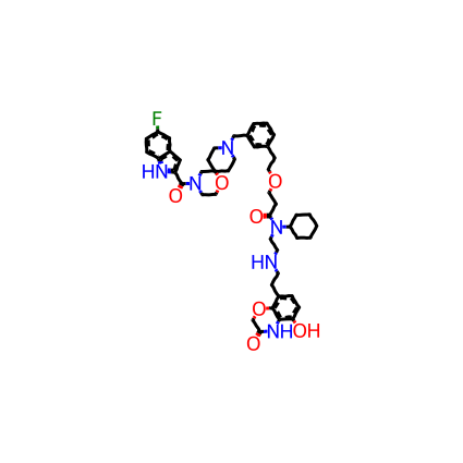 O=C1COc2c(CCNCCN(C(=O)CCOCCc3cccc(CN4CCC5(CC4)CN(C(=O)c4cc6cc(F)ccc6[nH]4)CCO5)c3)C3CCCCC3)ccc(O)c2N1